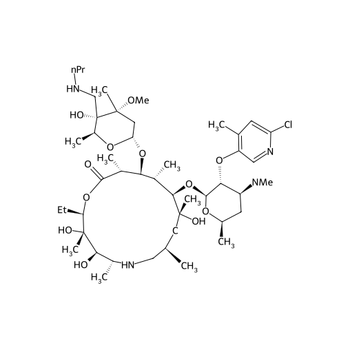 CCCNC[C@]1(O)[C@H](C)O[C@@H](O[C@H]2[C@H](C)[C@@H](O[C@@H]3O[C@H](C)C[C@H](NC)[C@H]3Oc3cnc(Cl)cc3C)[C@](C)(O)C[C@@H](C)CN[C@H](C)[C@@H](O)[C@](C)(O)[C@@H](CC)OC(=O)[C@@H]2C)C[C@@]1(C)OC